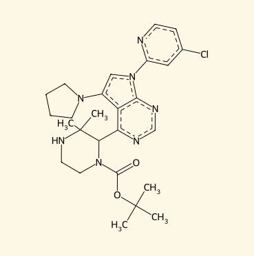 CC(C)(C)OC(=O)N1CCNC(C)(C)C1c1ncnc2c1c(N1CCCC1)cn2-c1cc(Cl)ccn1